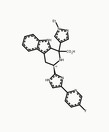 CCn1cc(C2(C(=O)O)N[C@@H](c3nc(-c4ccc(F)cn4)c[nH]3)Cc3c2[nH]c2ccccc32)cn1